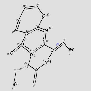 CC(C)/C=C1\NC(=O)[C@H](CC(C)C)n2c1nc1c(c2=O)C=CC=CO1